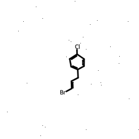 Clc1ccc(CC=CBr)cc1